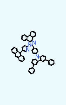 c1ccc(-c2ccc3c(c2)c2cc(-c4ccccc4)ccc2n3-c2ccc(-c3nc4c5ccccc5c5ccccc5c4n3-c3ccc(-c4c5ccccc5cc5ccccc45)cn3)cc2)cc1